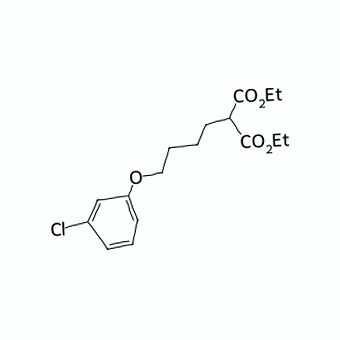 CCOC(=O)C(CCCCOc1cccc(Cl)c1)C(=O)OCC